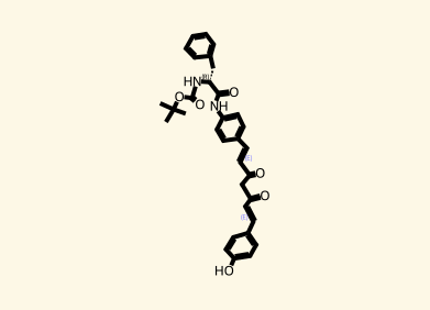 CC(C)(C)OC(=O)N[C@H](Cc1ccccc1)C(=O)Nc1ccc(/C=C/C(=O)CC(=O)/C=C/c2ccc(O)cc2)cc1